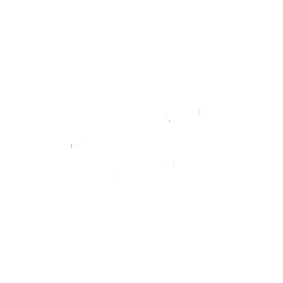 CCCc1cc[n+](C)cc1.CS(=O)(=O)O